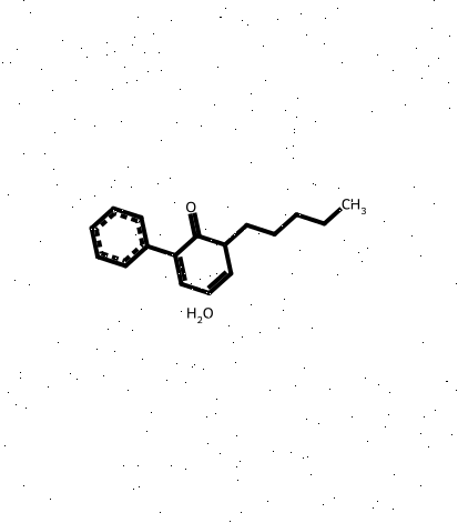 CCCCCC1C=CC=C(c2ccccc2)C1=O.O